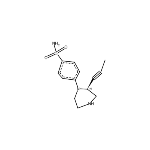 CC#C[C@H]1CNCCN1c1ccc(S(N)(=O)=O)cc1